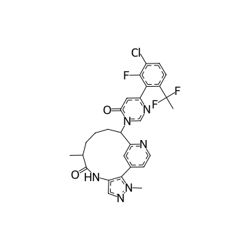 CC1CCCC(n2cnc(-c3c(C(C)(F)F)ccc(Cl)c3F)cc2=O)c2cc(ccn2)-c2c(cnn2C)NC1=O